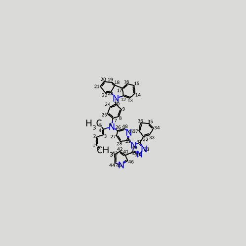 C/C=C\C=C(/C)N(c1ccc(-n2c3ccccc3c3ccccc32)cc1)c1ccc(-n2c(-c3ccccc3)nnc2-c2cccnc2)nc1